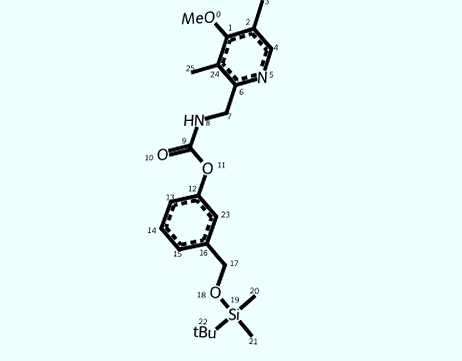 COc1c(C)cnc(CNC(=O)Oc2cccc(CO[Si](C)(C)C(C)(C)C)c2)c1C